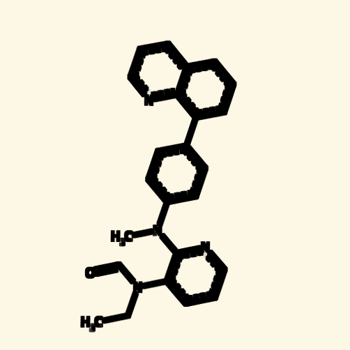 CCN(C=O)c1cccnc1N(C)c1ccc(-c2cccc3cccnc23)cc1